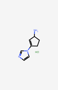 Cl.NC1C=C(n2ccnc2)CC1